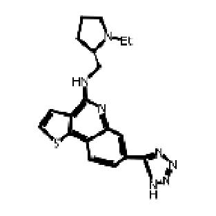 CCN1CCC[C@@H]1CNc1nc2cc(-c3nnn[nH]3)ccc2c2sccc12